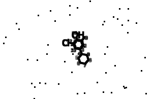 Cc1cc(C2CCCCC2)cc(Cl)c1O